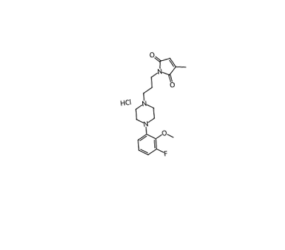 COc1c(F)cccc1N1CCN(CCCN2C(=O)C=C(C)C2=O)CC1.Cl